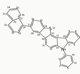 c1ccc(-n2c3ccccc3c3c4sc5ccc(-c6cccc7ccccc67)cc5c4ccc32)cc1